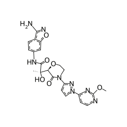 COc1nccc(-n2ccc(N3CCO[C@H]([C@@](C)(O)C(=O)Nc4ccc5c(N)noc5c4)C3=O)n2)n1